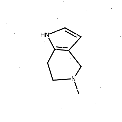 CN1CCc2[nH]ccc2C1